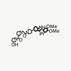 COc1ccc(-c2[nH]c3ccc(C4CCN(C(=O)CN5CCC[C@H](C(=O)N6CCCC(O)C6)C5)CC4)cc3c2C(C)C)cc1OC